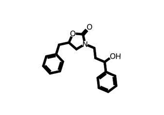 O=C1OC(Cc2ccccc2)CN1CCC(O)c1ccccc1